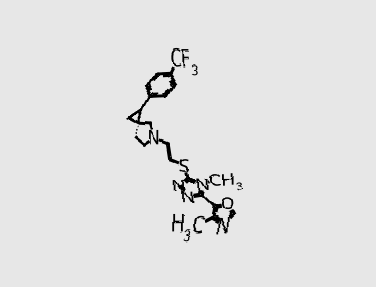 Cc1ncoc1-c1nnc(SCCN2CC[C@@]3(CC3c3ccc(C(F)(F)F)cc3)C2)n1C